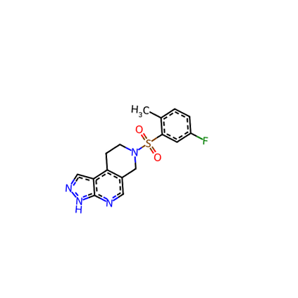 Cc1ccc(F)cc1S(=O)(=O)N1CCc2c(cnc3[nH]ncc23)C1